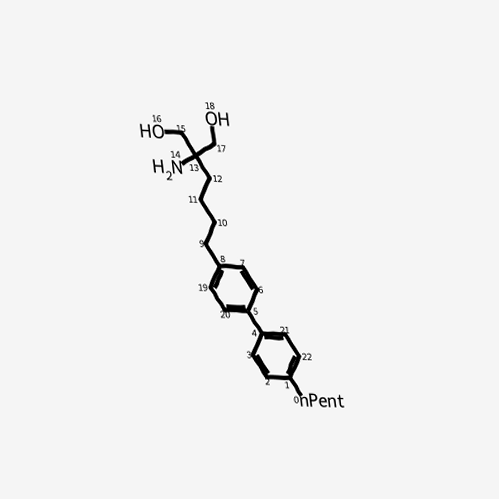 CCCCCc1ccc(-c2ccc(CCCCC(N)(CO)CO)cc2)cc1